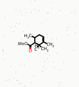 COC(=O)C1C(C)CC=C(C)C1(C)C